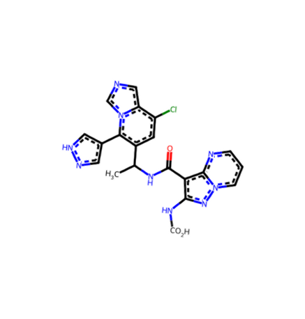 CC(NC(=O)c1c(NC(=O)O)nn2cccnc12)c1cc(Cl)c2cncn2c1-c1cn[nH]c1